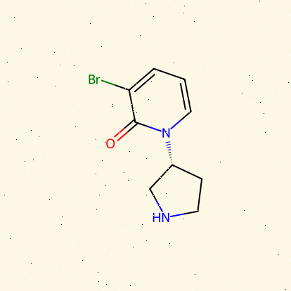 O=c1c(Br)cccn1[C@@H]1CCNC1